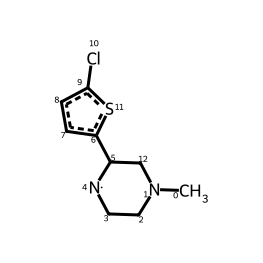 CN1CC[N]C(c2ccc(Cl)s2)C1